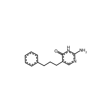 Nc1ncc(CCCc2ccccc2)c(=O)[nH]1